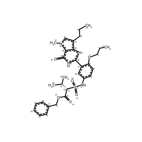 CCCOc1ccc(NS(=O)(=O)[C@H](C(=O)OCc2ccccc2)C(C)C)cc1-c1nc2c(CCC)cn(C)c2c(=O)[nH]1